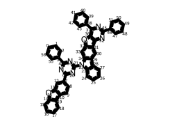 c1ccc(-c2nc(-c3ccc4c(c3)oc3ccccc34)nc(-n3c4ccccc4c4cc5c(cc43)oc3c(-c4ccccc4)nc(-c4ccccc4)nc35)n2)cc1